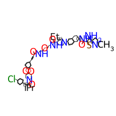 CC[C@@H]1CN(c2ccc3c(c2)CC[C@H](NC(=O)c2sc4nc(C)ccc4c2N)C3)CCC1C(=O)NCCOCCNC(=O)C#Cc1ccc2c(c1)OC1(CCN(C(=O)[C@H](c3ccc(Cl)cc3)C(C)C)CC1)O2